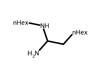 CCCCCCCC(N)NCCCCCC